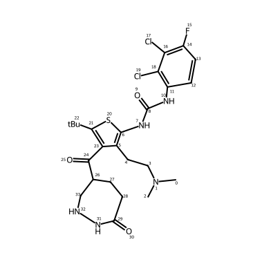 CN(C)CCc1c(NC(=O)Nc2ccc(F)c(Cl)c2Cl)sc(C(C)(C)C)c1C(=O)C1CCC(=O)NNC1